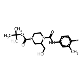 Cc1cc(NC(=O)N2CCN(C(=O)OC(C)(C)C)CC2CO)ccc1F